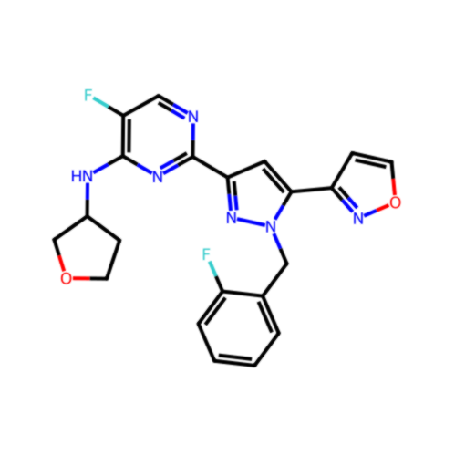 Fc1ccccc1Cn1nc(-c2ncc(F)c(NC3CCOC3)n2)cc1-c1ccon1